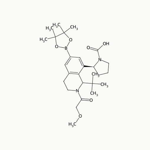 COCC(=O)N1CCc2cc(B3OC(C)(C)C(C)(C)O3)cc([C@@H]3CCCN3C(=O)O)c2C1C(C)(C)C